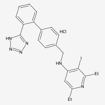 CCc1cc(NCc2ccc(-c3ccccc3-c3nnn[nH]3)cc2)c(I)c(CC)n1.Cl